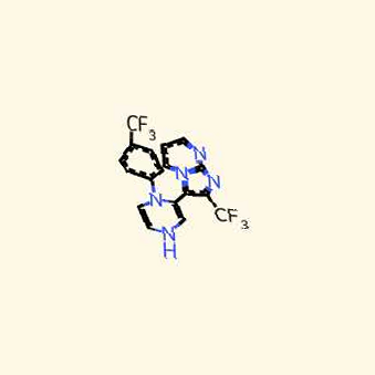 FC(F)(F)c1ccc(N2C=CNC=C2c2c(C(F)(F)F)nc3ncccn23)cc1